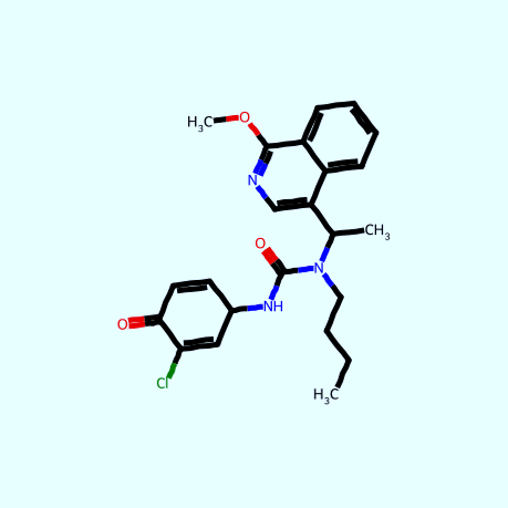 CCCCN(C(=O)NC1C=CC(=O)C(Cl)=C1)C(C)c1cnc(OC)c2ccccc12